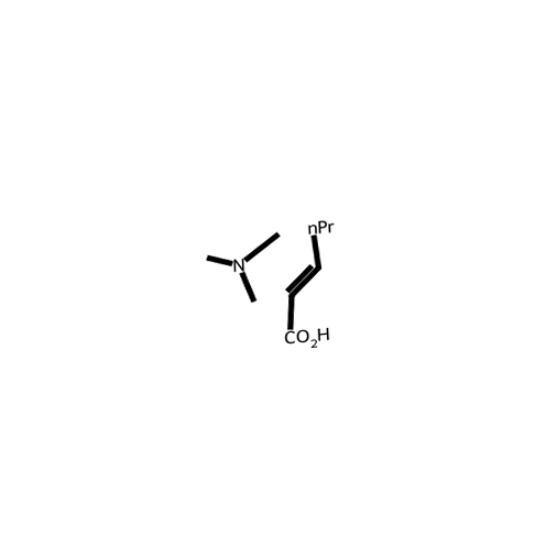 CCCC=CC(=O)O.CN(C)C